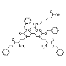 NC(CCN(CCC(CN(CCC(N)C(=O)OCc1ccccc1)C(=O)OCc1ccccc1)OCC(=O)NCCCCCC(=O)O)C(=O)OCc1ccccc1)C(=O)OCc1ccccc1